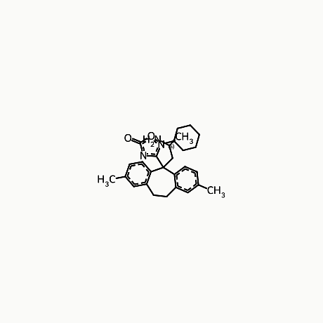 Cc1ccc2c(c1)CCc1cc(C)ccc1C2(C[C@H](C)N)c1nc(=O)on1C1CCCCC1